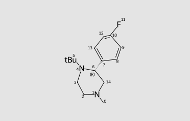 CN1CCN(C(C)(C)C)[C@H](c2ccc(F)cc2)C1